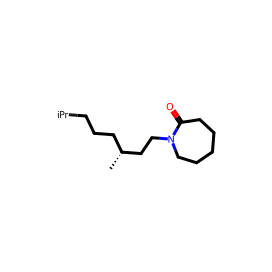 CC(C)CCC[C@@H](C)CCN1CCCCCC1=O